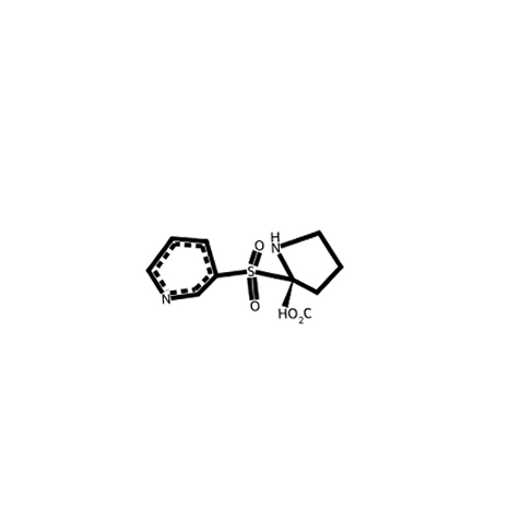 O=C(O)[C@]1(S(=O)(=O)c2cccnc2)CCCN1